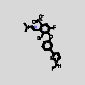 CN(C)/C=C/c1c([N+](=O)[O-])cc(F)c(Oc2cccc(-c3ccn(PI)n3)c2)c1Br